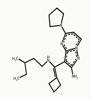 CCC(C)CCNC(=C1CCC1)c1c(N)nn2ccc(N3CCCC3)nc12